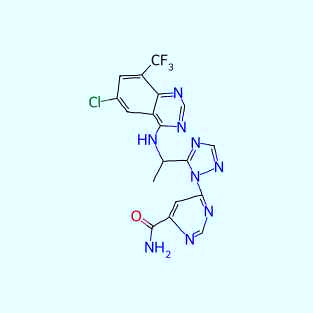 CC(Nc1ncnc2c(C(F)(F)F)cc(Cl)cc12)c1ncnn1-c1cc(C(N)=O)ncn1